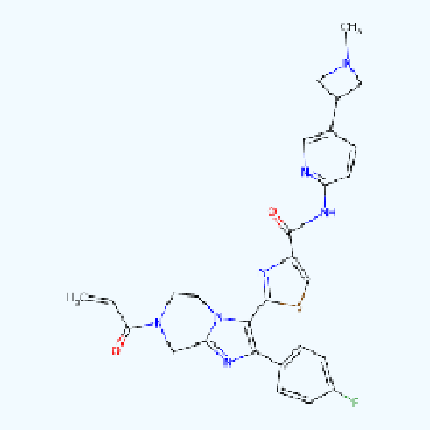 C=CC(=O)N1CCn2c(nc(-c3ccc(F)cc3)c2-c2nc(C(=O)Nc3ccc(C4CN(C)C4)cn3)cs2)C1